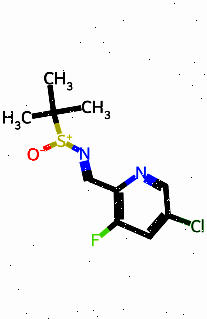 CC(C)(C)[S+]([O-])/N=C/c1ncc(Cl)cc1F